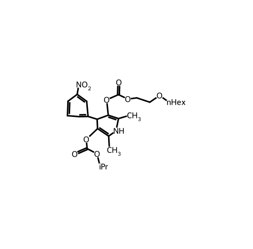 CCCCCCOCCOC(=O)OC1=C(C)NC(C)=C(OC(=O)OC(C)C)C1c1cccc([N+](=O)[O-])c1